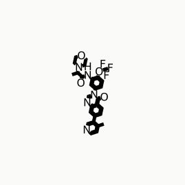 Cc1ccncc1-c1ccc2c(=O)n(-c3ccc(OC(F)(F)F)c(NC(=O)C(C)N4CCOCC4)c3)cnc2c1